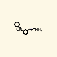 CC1(CCc2cccc(/C=C/CN)c2)CCCCC1